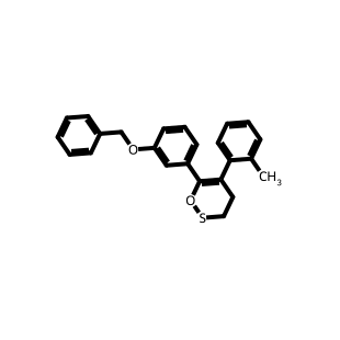 Cc1ccccc1C1=C(c2cccc(OCc3ccccc3)c2)OSCC1